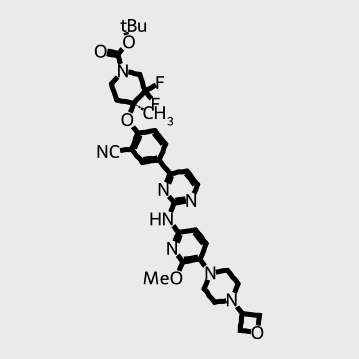 COc1nc(Nc2nccc(-c3ccc(O[C@@]4(C)CCN(C(=O)OC(C)(C)C)CC4(F)F)c(C#N)c3)n2)ccc1N1CCN(C2COC2)CC1